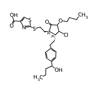 CCCCOC1C(=O)[C@H](CCSc2nc(C(=O)O)cs2)[C@@H](CCc2ccc(C(O)CCC)cc2)C1Cl